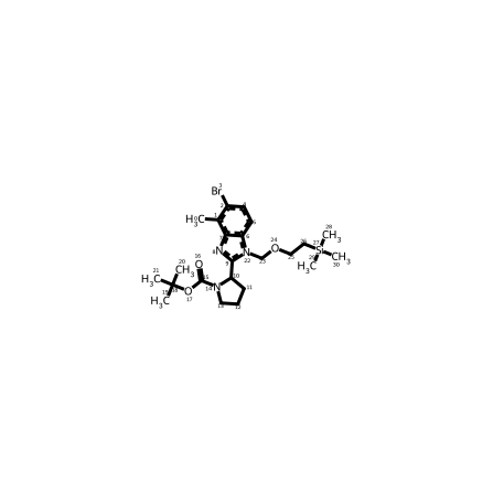 Cc1c(Br)ccc2c1nc(C1CCCN1C(=O)OC(C)(C)C)n2COCC[Si](C)(C)C